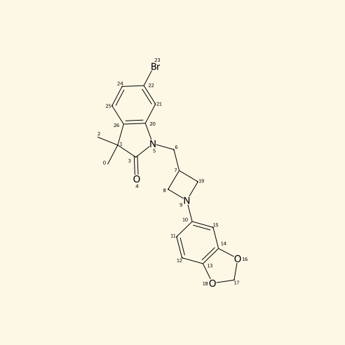 CC1(C)C(=O)N(CC2CN(c3ccc4c(c3)OCO4)C2)c2cc(Br)ccc21